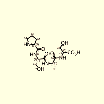 C[C@H](NC(=O)[C@H](CO)NC(=O)[C@@H]1CCCN1)C(=O)N[C@@H](CO)C(=O)O